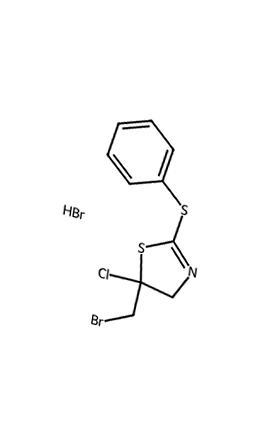 Br.ClC1(CBr)CN=C(Sc2ccccc2)S1